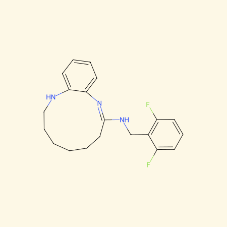 Fc1cccc(F)c1CN/C1=N/c2ccccc2NCCCCCC1